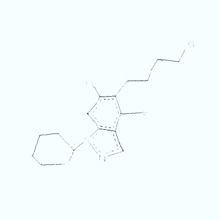 OCCCCc1c(Cl)cc2c(cnn2C2CCCCO2)c1Br